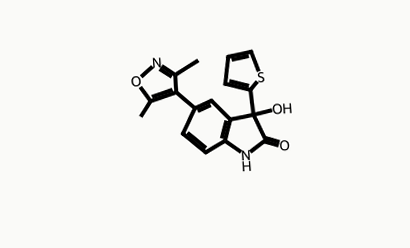 Cc1noc(C)c1-c1ccc2c(c1)C(O)(c1cccs1)C(=O)N2